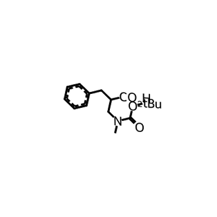 CN(CC(Cc1ccccc1)C(=O)O)C(=O)OC(C)(C)C